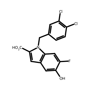 O=C(O)c1cc2cc(O)c(F)cc2n1Cc1ccc(Cl)c(Cl)c1